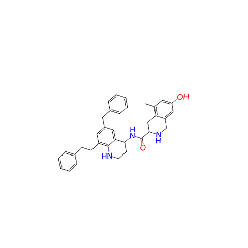 Cc1cc(O)cc2c1CC(C(=O)NC1CCNc3c(CCc4ccccc4)cc(Cc4ccccc4)cc31)NC2